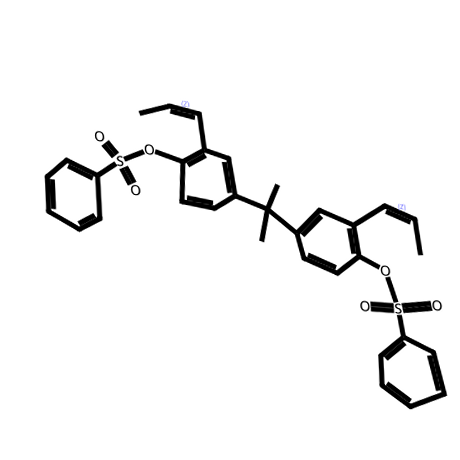 C/C=C\c1cc(C(C)(C)c2ccc(OS(=O)(=O)c3ccccc3)c(/C=C\C)c2)ccc1OS(=O)(=O)c1ccccc1